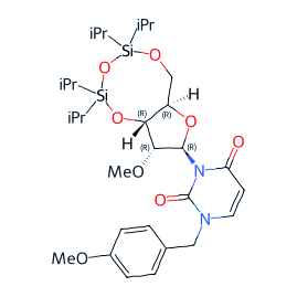 COc1ccc(Cn2ccc(=O)n([C@@H]3O[C@@H]4CO[Si](C(C)C)(C(C)C)O[Si](C(C)C)(C(C)C)O[C@H]4[C@H]3OC)c2=O)cc1